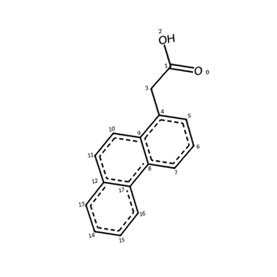 O=C(O)Cc1cccc2c1ccc1ccccc12